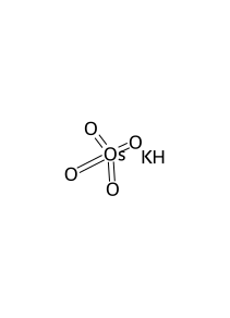 [KH].[O]=[Os](=[O])(=[O])=[O]